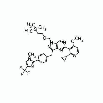 COc1ccnc(C2CC2)c1-c1ncc2c(n1)c(Cc1ccc(-c3nc(C(F)(F)F)cn3C)cc1)nn2COCC[Si](C)(C)C